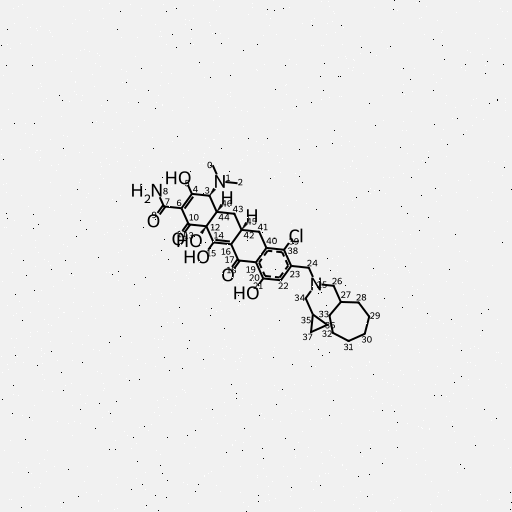 CN(C)[C@@H]1C(O)=C(C(N)=O)C(=O)[C@@]2(O)C(O)=C3C(=O)c4c(O)cc(CN(CC5CCCCCC5)CC5CC5)c(Cl)c4C[C@H]3C[C@@H]12